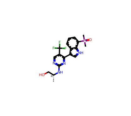 C[C@H](CO)Nc1ncc(C(F)(F)F)c(-c2c[nH]c3c(P(C)(C)=O)cccc23)n1